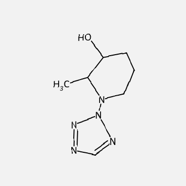 CC1C(O)CCCN1n1ncnn1